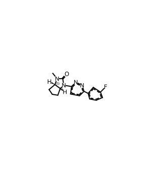 CN1C(=O)N(c2ccc(-c3cccc(F)c3)nn2)[C@@H]2CCC[C@@H]21